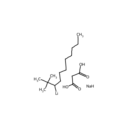 O=C(O)CC(=O)O.[Li][CH](CCCCCCCC)C(C)(C)C.[NaH]